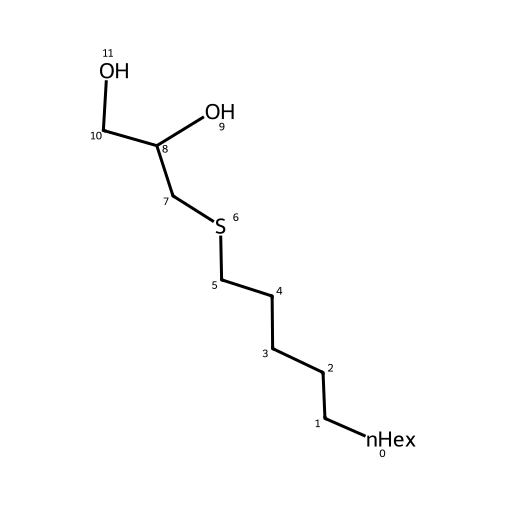 CCCCCCCCCCCSCC(O)CO